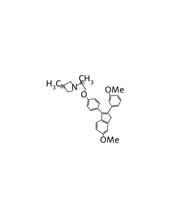 COc1cccc(C2=C(c3ccc(OC[C@H](C)N4CC[C@@H](C)C4)cc3)c3ccc(OC)cc3C2)c1